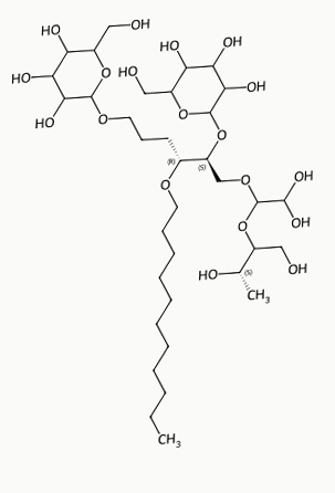 CCCCCCCCCCCO[C@H](CCCOC1OC(CO)C(O)C(O)C1O)[C@H](COC(OC(CO)[C@H](C)O)C(O)O)OC1OC(CO)C(O)C(O)C1O